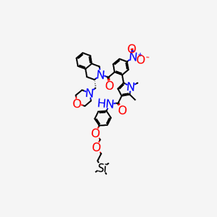 Cc1c(C(=O)Nc2ccc(OCOCC[Si](C)(C)C)cc2)cc(-c2cc([N+](=O)[O-])ccc2C(=O)N2Cc3ccccc3C[C@H]2CN2CCOCC2)n1C